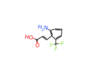 Nc1cccc(C(F)(F)F)c1/C=C/C(=O)O